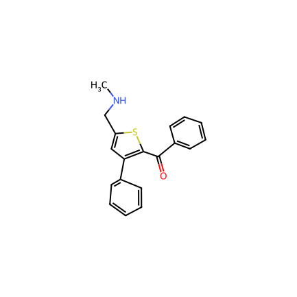 CNCc1cc(-c2ccccc2)c(C(=O)c2ccccc2)s1